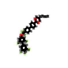 CCCCCC1COC(C2CCC(C3CCC(C(F)(F)Oc4cc(F)c(-c5cc(F)c(F)c(F)c5)c(F)c4)CC3)CC2)OC1